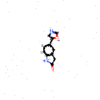 O=C1Cc2cc(-c3cnco3)ccc2N1